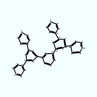 c1cc(-c2cc(-c3ccncc3)cc(-c3ccncc3)c2)cc(-c2cc(-c3ccncc3)cc(-c3ccncc3)c2)c1